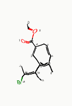 COC(=O)c1ccc(C)c(/C(C)=C(\C)Br)c1